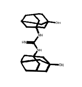 N=C(NC12CC3CC(CC(O)(C3)C1)C2)NC12CC3CC(CC(O)(C3)C1)C2